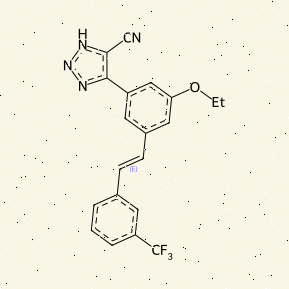 CCOc1cc(/C=C/c2cccc(C(F)(F)F)c2)cc(-c2nn[nH]c2C#N)c1